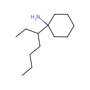 CCCCC(CC)C1(N)CCCCC1